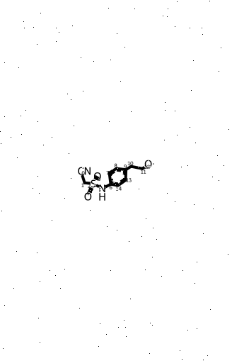 N#CCS(=O)(=O)Nc1ccc(CC[O])cc1